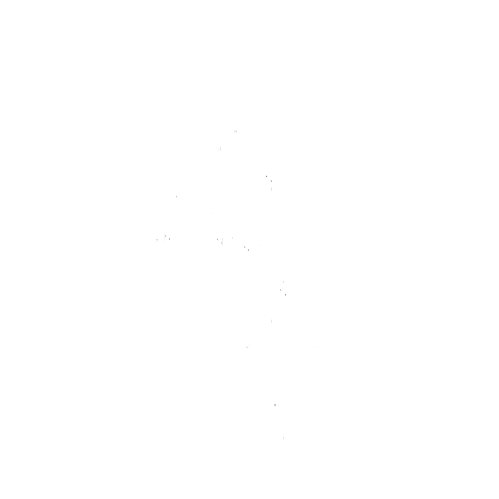 Cc1ccc2[nH]c(-c3cnc4ccc(Nc5ccc(C)c(C)c5)nn34)cc2c1